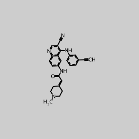 C#Cc1cccc(Nc2c(C#N)cnc3ccc(NC(=O)C=C4CCN(C)CC4)cc23)c1